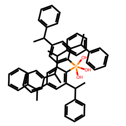 CC(c1ccccc1)c1cc(C(C)c2ccccc2)c(P(O)(O)(O)c2c(C(C)c3ccccc3)cc(C(C)c3ccccc3)cc2C(C)c2ccccc2)c(C(C)c2ccccc2)c1